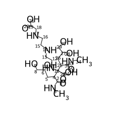 CNC(=O)C(CC(O)CO)C(NCCNCCNCC(=O)O)(C(=O)O)C(CC(O)CO)C(=O)NC